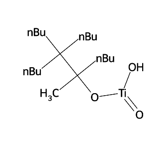 CCCCC(CCCC)(CCCC)C(C)(CCCC)[O][Ti](=[O])[OH]